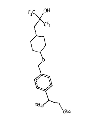 CC(C)(C)CC(c1ccc(COC2CCC(CC(O)(C(F)(F)F)C(F)(F)F)CC2)cc1)C(C)(C)C